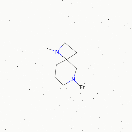 CCN1CCCC2(CCN2C)C1